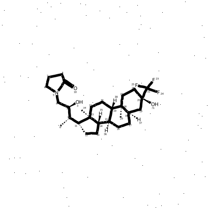 C[C@H]([C@H](O)CN1CCCC1=O)[C@H]1CC[C@H]2[C@@H]3CC[C@@H]4C[C@@](O)(C(F)(F)F)CC[C@]4(C)[C@H]3CC[C@]12C